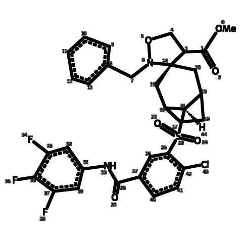 COC(=O)C1CON(Cc2ccccc2)[C@]12CC1CCC(C2)[C@H]1S(=O)(=O)c1cc(C(=O)Nc2cc(F)c(F)c(F)c2)ccc1Cl